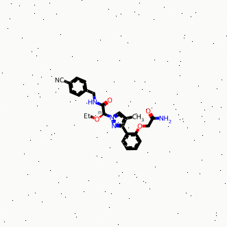 CCO[C@@H](C(=O)NCc1ccc(C#N)cc1)n1cc(C)c(-c2ccccc2OCC(N)=O)n1